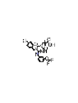 CC(C)(Cn1c(=O)[nH]/c(=N\c2cccc(OC(F)F)c2)n(Cc2ccc(Cl)cc2)c1=O)C(=O)O